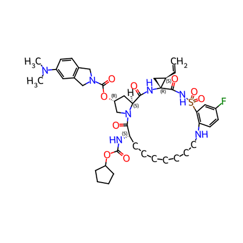 C=C[C@@H]1C[C@@]12NC(=O)[C@@H]1C[C@@H](OC(=O)N3Cc4ccc(N(C)C)cc4C3)CN1C(=O)[C@@H](NC(=O)OC1CCCC1)CCCCCCCNc1ccc(F)cc1S(=O)(=O)NC2=O